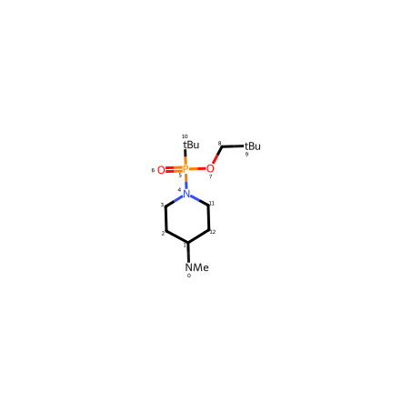 CNC1CCN(P(=O)(OCC(C)(C)C)C(C)(C)C)CC1